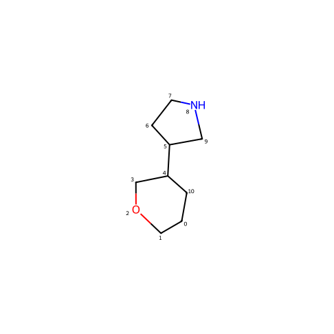 C1COCC(C2CCNC2)C1